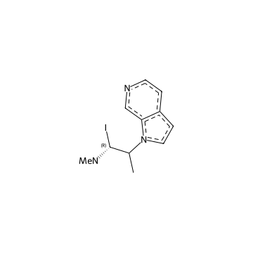 CN[C@H](I)C(C)n1ccc2ccncc21